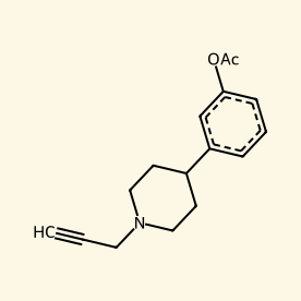 C#CCN1CCC(c2cccc(OC(C)=O)c2)CC1